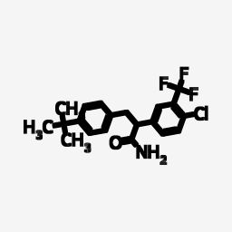 CC(C)(C)c1ccc(CC(C(N)=O)c2ccc(Cl)c(C(F)(F)F)c2)cc1